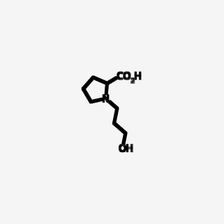 O=C(O)C1CCCN1CCCO